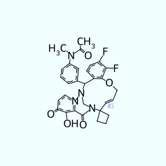 CC(=O)N(C)c1cccc(C2c3ccc(F)c(F)c3OC/C=C/C3(CCC3)N3CN2n2ccc(=O)c(O)c2C3=O)c1